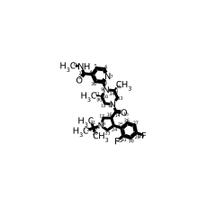 CNC(=O)c1ccnc(N2[C@H](C)CN(C(=O)C3CN(C(C)(C)C)CC3c3ccc(F)cc3F)C[C@@H]2C)c1